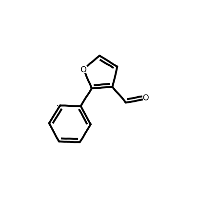 O=Cc1ccoc1-c1[c]cccc1